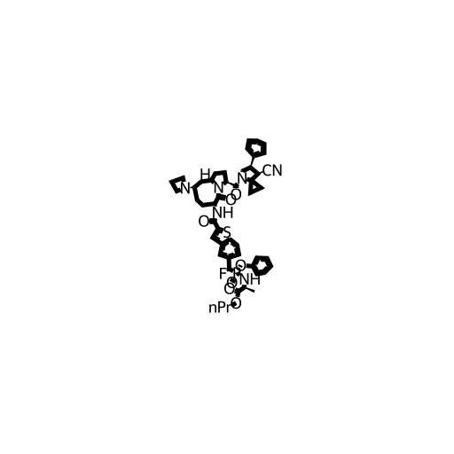 CCCOC(=O)[C@H](C)NP(=O)(Oc1ccccc1)[C@@H](F)c1ccc2sc(C(=O)N[C@H]3CC[C@H](N4CCC4)C[C@H]4CC[C@@H](C(=O)N5C[C@@H](c6ccccc6)[C@H](C#N)C56CC6)N4C3=O)cc2c1